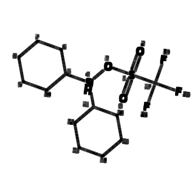 O=S(=O)(O[SiH](C1CCCCC1)C1CCCCC1)C(F)(F)F